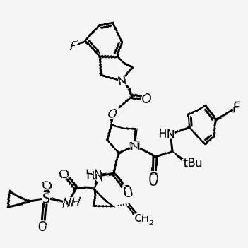 C=C[C@@H]1C[C@]1(NC(=O)C1C[C@@H](OC(=O)N2Cc3cccc(F)c3C2)CN1C(=O)[C@@H](Nc1ccc(F)cc1)C(C)(C)C)C(=O)NS(=O)(=O)C1CC1